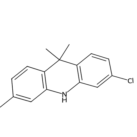 Cc1ccc2c(c1)Nc1cc(Cl)ccc1C2(C)C